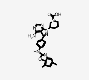 Cc1cc(C)c2oc(Nc3ccc(-c4nn(C5CCCN(C(=O)O)C5)c5ncnc(N)c45)cc3)nc2c1